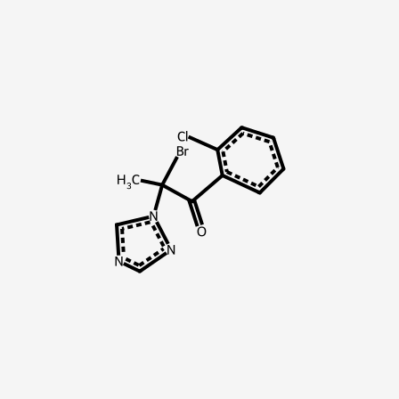 CC(Br)(C(=O)c1ccccc1Cl)n1cncn1